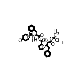 CC(C)OC(=O)C(=O)C(Cc1ccccc1)N1CCC[C@H]1C(=O)NC(=O)[C@H](Cc1ccccc1)NC(=O)N1CCC(=O)CC1